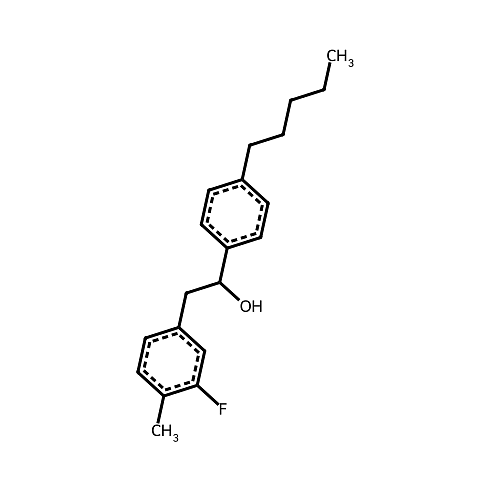 CCCCCc1ccc(C(O)Cc2ccc(C)c(F)c2)cc1